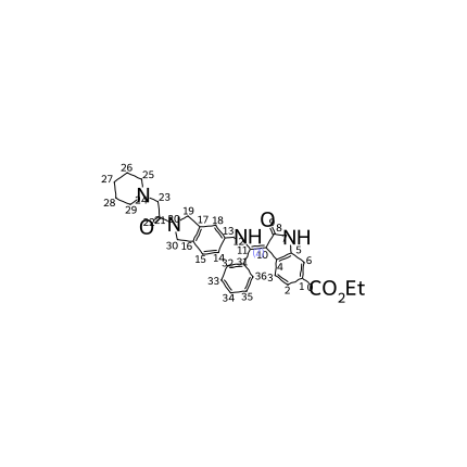 CCOC(=O)c1ccc2c(c1)NC(=O)/C2=C(\Nc1ccc2c(c1)CN(C(=O)CN1CCCCC1)C2)c1ccccc1